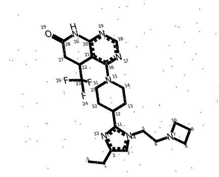 CCc1cn(CCN2CCC2)c(C2CCN(c3ncnc4c3C(C(F)(F)F)CC(=O)N4)CC2)n1